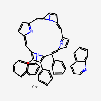 C1=Cc2cc3c(-c4ccccc4)c(-c4ccccc4)c(c(-c4ccccc4)c4nc(cc5ccc(cc1n2)[nH]5)C=C4)n3-c1ccccc1.[Co].c1ccc2ncccc2c1